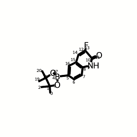 CC1(C)OB(c2ccc3[nH]c(=O)c(F)cc3c2)OC1(C)C